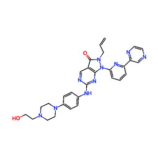 C=CCn1c(=O)c2cnc(Nc3ccc(N4CCN(CCO)CC4)cc3)nc2n1-c1cccc(-c2cnccn2)n1